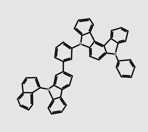 c1ccc(-n2c3ccccc3c3c4c5ccccc5n(-c5cccc(-c6ccc7c8ccccc8n(-c8cccc9ccccc89)c7c6)c5)c4ccc32)cc1